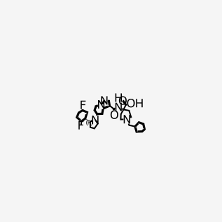 O=C(NC1(C(=O)O)CCN(Cc2ccccc2)CC1)c1cnn2ccc(N3CCC[C@@H]3c3cc(F)ccc3F)cc12